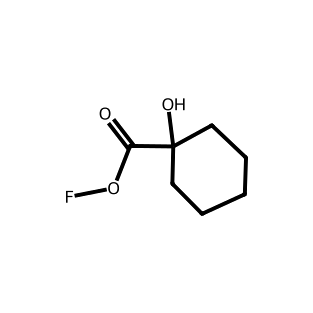 O=C(OF)C1(O)CCCCC1